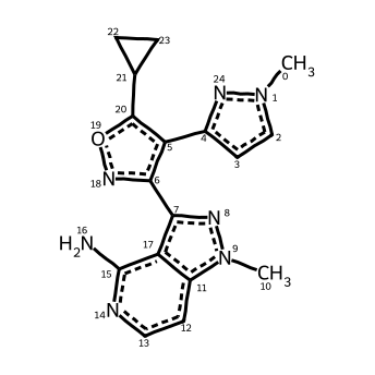 Cn1ccc(-c2c(-c3nn(C)c4ccnc(N)c34)noc2C2CC2)n1